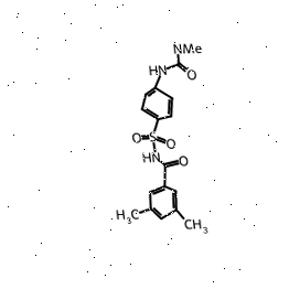 CNC(=O)Nc1ccc(S(=O)(=O)NC(=O)c2cc(C)cc(C)c2)cc1